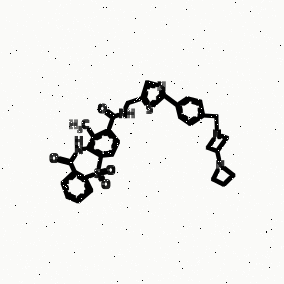 Cc1c(C(=O)NCc2cnc(-c3ccc(CN4CC(N5CCC5)C4)cc3)s2)ccc2c1NC(=O)c1ccccc1S2(=O)=O